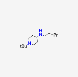 CC(C)CCNC1CCN(C(C)(C)C)CC1